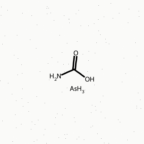 NC(=O)O.[AsH3]